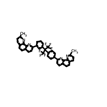 Cc1ccc2ccc3ccc(-c4ccc(C(c5cccc(-c6ccc7ccc8ccc(C)nc8c7n6)c5)(C(F)(F)F)C(F)(F)F)cc4)nc3c2n1